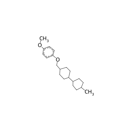 COc1ccc(OCC2CCC(C3CCC(C)CC3)CC2)cc1